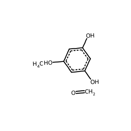 C.C=O.Oc1cc(O)cc(O)c1